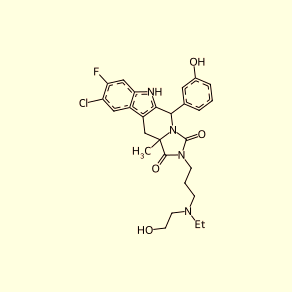 CCN(CCO)CCCN1C(=O)N2C(c3cccc(O)c3)c3[nH]c4cc(F)c(Cl)cc4c3CC2(C)C1=O